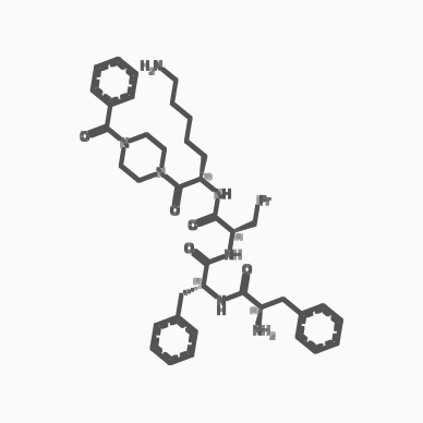 CC(C)C[C@@H](NC(=O)[C@@H](Cc1ccccc1)NC(=O)[C@H](N)Cc1ccccc1)C(=O)N[C@H](CCCCCN)C(=O)N1CCN(C(=O)c2ccccc2)CC1